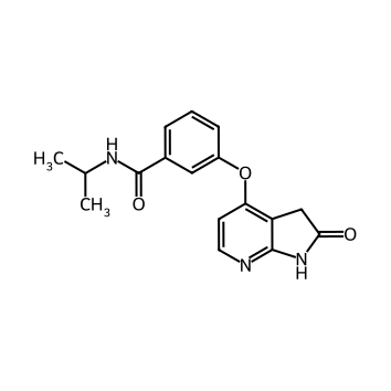 CC(C)NC(=O)c1cccc(Oc2ccnc3c2CC(=O)N3)c1